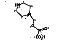 O=C(O)C(=O)OCN1CCNCC1